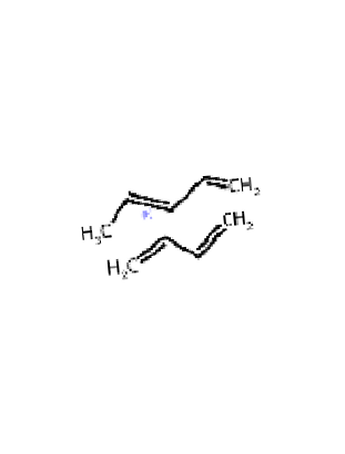 C=C/C=C/C.C=CC=C